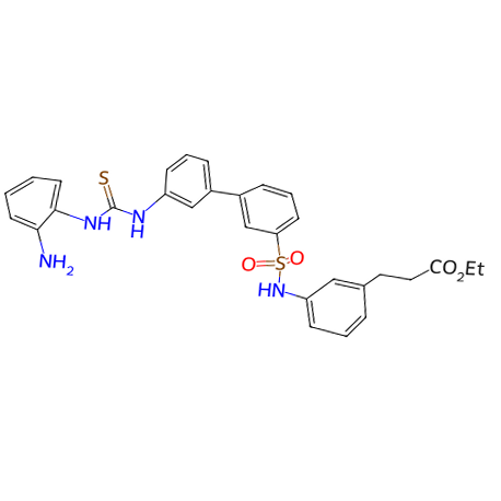 CCOC(=O)CCc1cccc(NS(=O)(=O)c2cccc(-c3cccc(NC(=S)Nc4ccccc4N)c3)c2)c1